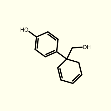 OCC1(c2ccc(O)cc2)C=CC=CC1